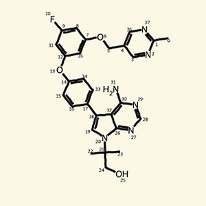 Cc1ncc(COc2cc(F)cc(Oc3ccc(-c4cn(C(C)(C)CO)c5ncnc(N)c45)cc3)c2)cn1